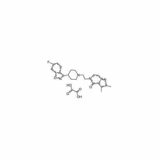 Cc1nn2ccn(CCN3CCC(c4noc5cc(F)ccc45)CC3)c(=O)c2c1C.O=C(O)C(=O)O